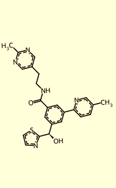 Cc1ccc(-c2cc(C(=O)NCCc3cnc(C)nc3)cc([C@@H](O)c3nccs3)c2)nc1